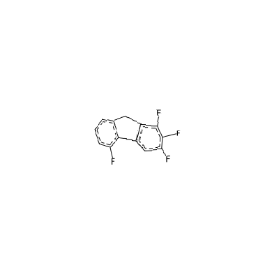 Fc1cc2c(c(F)c1F)Cc1cccc(F)c1-2